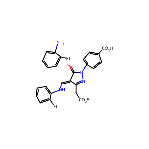 CCOC(=O)CC1=NN(c2ccc(C(=O)O)cc2)C(=O)/C1=C/Nc1ccccc1CC.CCc1ccccc1N